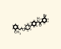 Cc1ccccc1CCON1CCN(c2ccc(NC(=O)c3cccc(Br)c3)cc2)CC1